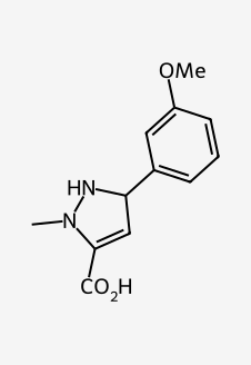 COc1cccc(C2C=C(C(=O)O)N(C)N2)c1